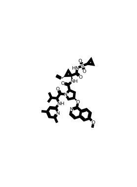 C=C[C@@H]1C[C@]1(NC(=O)C1C[C@@H](Oc2nccc3cc(OC)ccc23)CN1C(=O)C(Nc1cc(C)cc(C)n1)C(C)C)C(=O)NS(=O)(=O)C1CC1